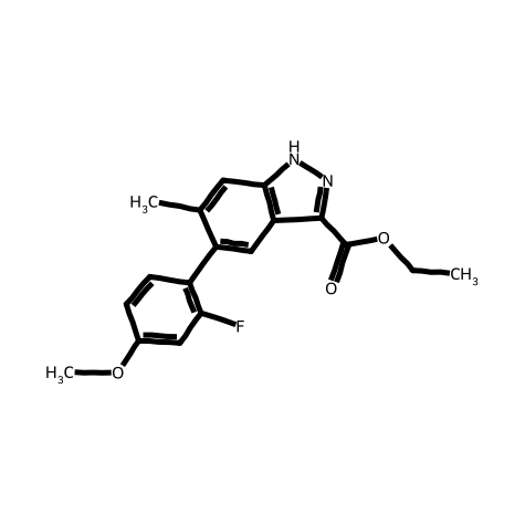 CCOC(=O)c1n[nH]c2cc(C)c(-c3ccc(OC)cc3F)cc12